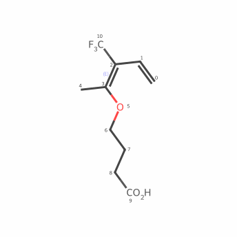 C=C/C(=C(/C)OCCCC(=O)O)C(F)(F)F